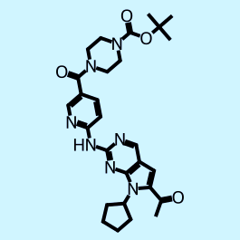 CC(=O)c1cc2cnc(Nc3ccc(C(=O)N4CCN(C(=O)OC(C)(C)C)CC4)cn3)nc2n1C1CCCC1